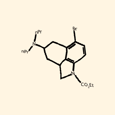 CCCN(CCC)C1Cc2c(Br)ccc3c2C(C1)CN3C(=O)OCC